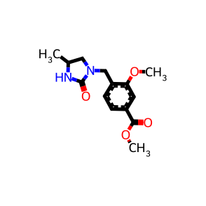 COC(=O)c1ccc(CN2CC(C)NC2=O)c(OC)c1